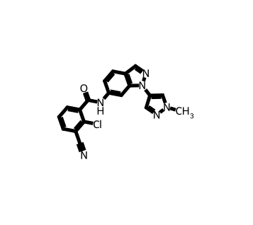 Cn1cc(-n2ncc3ccc(NC(=O)c4cccc(C#N)c4Cl)cc32)cn1